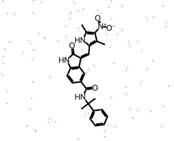 Cc1[nH]c(C=C2C(=O)Nc3ccc(C(=O)NC(C)(C)c4ccccc4)cc32)c(C)c1[N+](=O)[O-]